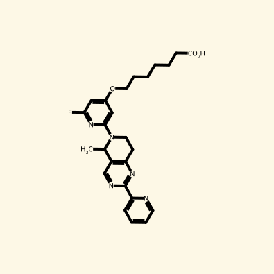 CC1c2cnc(-c3ccccn3)nc2CCN1c1cc(OCCCCCCC(=O)O)cc(F)n1